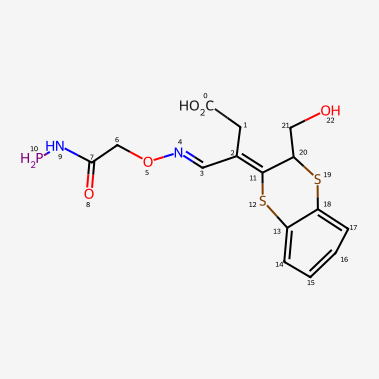 O=C(O)CC(/C=N/OCC(=O)NP)=C1/Sc2ccccc2SC1CO